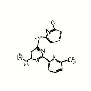 CC(C)Nc1cc(Nc2cccc(Cl)n2)nc(-c2cccc(C(F)(F)F)n2)n1